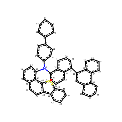 c1ccc(-c2ccc(N(c3cccc4c(-c5cc6ccccc6c6ccccc56)cccc34)c3cccc4ccc5c6ccccc6sc5c34)cc2)cc1